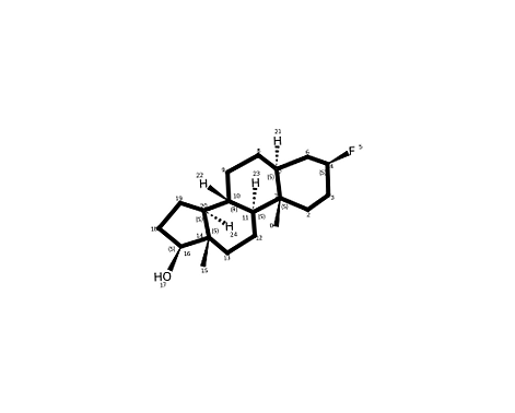 C[C@]12CC[C@H](F)C[C@@H]1CC[C@@H]1[C@@H]2CC[C@]2(C)[C@@H](O)CC[C@@H]12